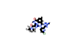 [2H]C([2H])([2H])N(C(=O)c1ncn2c3c(C(C)Nc4ccc(Cl)nc4-c4nnn(C)n4)cc(C)cc3c(=O)n(C)c12)C([2H])([2H])[2H]